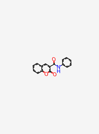 O=C(Nc1ccccc1)c1cc2ccccc2oc1=O